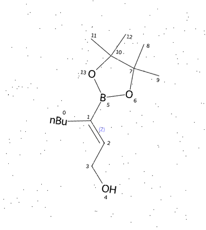 CCCC/C(=C\CO)B1OC(C)(C)C(C)(C)O1